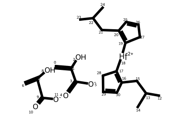 C=C(O)C(=O)[O-].C=C(O)C(=O)[O-].CC(C)CC1=[C]([Hf+2][C]2=C(CC(C)C)C=CC2)CC=C1